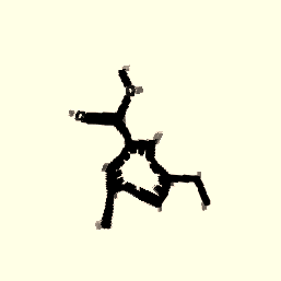 CCc1cc(C)cc(C(=O)OC)c1